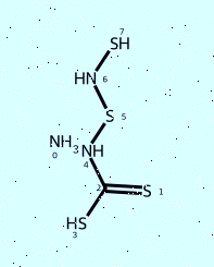 N.S=C(S)NSNS